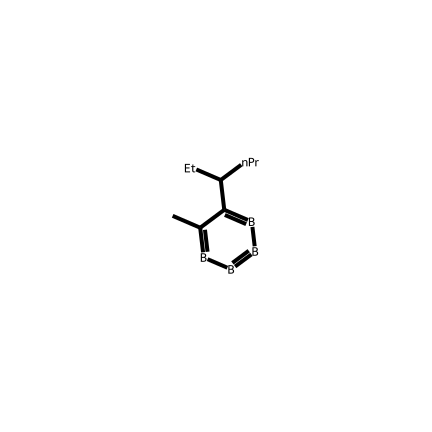 CCCC(CC)c1bbbbc1C